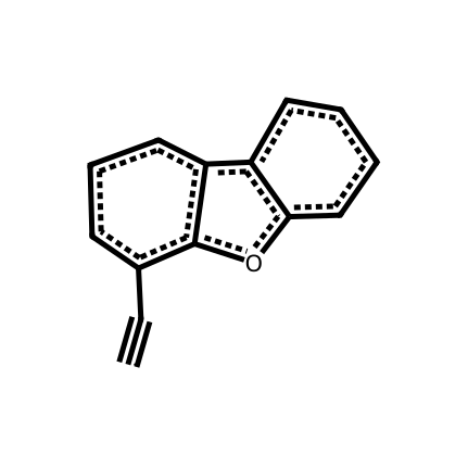 [C]#Cc1cccc2c1oc1ccccc12